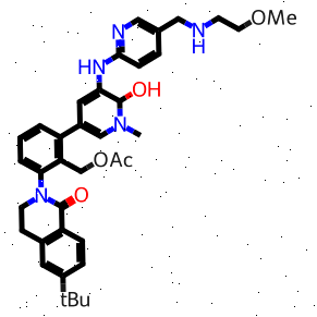 COCCNCc1ccc(NC2=CC(c3cccc(N4CCc5cc(C(C)(C)C)ccc5C4=O)c3COC(C)=O)=CN(C)C2O)nc1